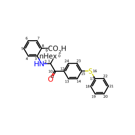 CCCCCCC(Nc1ccccc1C(=O)O)C(=O)c1ccc(Sc2ccccc2)cc1